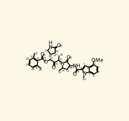 COc1cccc2c1cc(C(=O)N[C@H]1CC(C)N(C(C[C@@H]3CCNC3=O)C(=O)COC(=O)c3c(C)cccc3C)C1=O)n2C